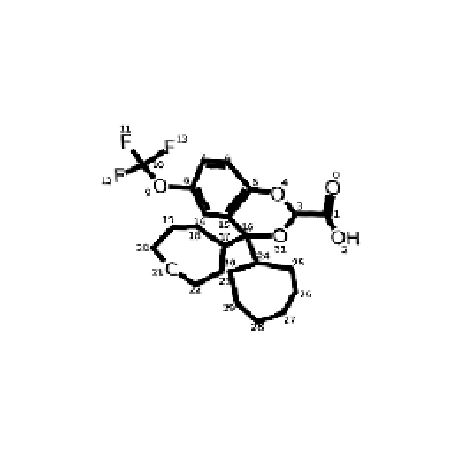 O=C(O)C1Oc2ccc(OC(F)(F)F)cc2C(C2CCCCCC2)(C2CCCCCC2)O1